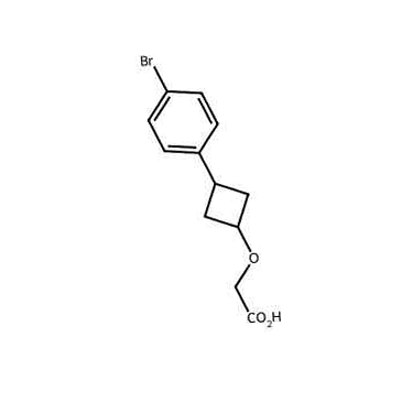 O=C(O)COC1CC(c2ccc(Br)cc2)C1